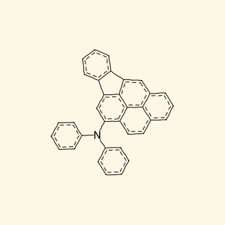 c1ccc(N(c2ccccc2)c2cc3c4c(cc5cccc6ccc2c4c65)-c2ccccc2-3)cc1